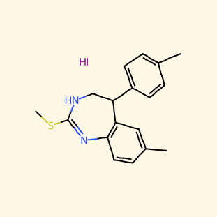 CSC1=Nc2ccc(C)cc2C(c2ccc(C)cc2)CN1.I